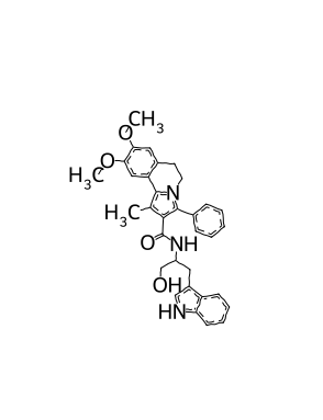 COc1cc2c(cc1OC)-c1c(C)c(C(=O)NC(CO)Cc3c[nH]c4ccccc34)c(-c3ccccc3)n1CC2